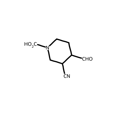 N#CC1CN(C(=O)O)CCC1C=O